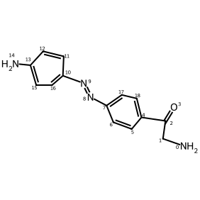 NCC(=O)c1ccc(N=Nc2ccc(N)cc2)cc1